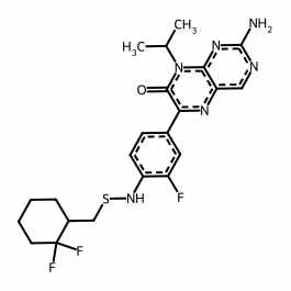 CC(C)n1c(=O)c(-c2ccc(NSCC3CCCCC3(F)F)c(F)c2)nc2cnc(N)nc21